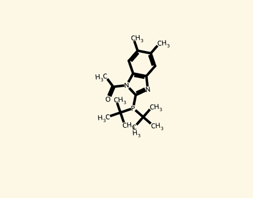 CC(=O)n1c(P(C(C)(C)C)C(C)(C)C)nc2cc(C)c(C)cc21